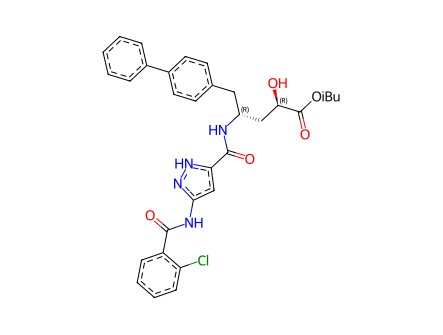 CC(C)COC(=O)[C@H](O)C[C@@H](Cc1ccc(-c2ccccc2)cc1)NC(=O)c1cc(NC(=O)c2ccccc2Cl)n[nH]1